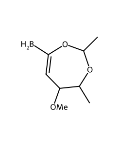 BC1=CC(OC)C(C)OC(C)O1